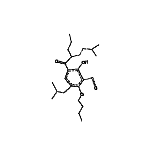 CCCCOc1c(CC(C)C)cc(C(=O)C(CCC)CCC(C)C)c(O)c1C=O